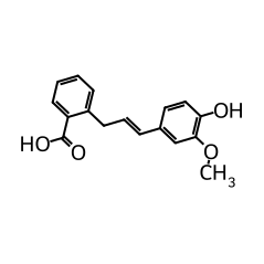 COc1cc(C=CCc2ccccc2C(=O)O)ccc1O